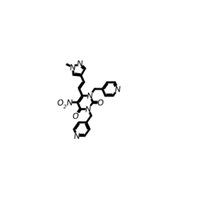 Cn1cc(C=Cc2c([N+](=O)[O-])c(=O)n(Cc3ccncc3)c(=O)n2Cc2ccncc2)cn1